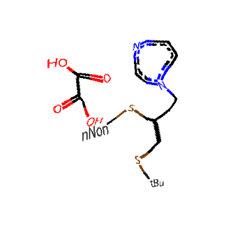 CCCCCCCCCSC(CSC(C)(C)C)Cn1ccnc1.O=C(O)C(=O)O